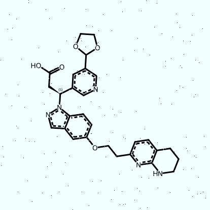 O=C(O)C[C@@H](c1cncc(C2OCCO2)c1)n1ncc2cc(OCCc3ccc4c(n3)NCCC4)ccc21